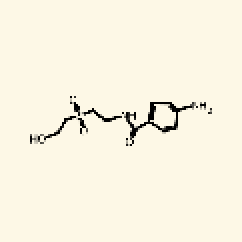 Nc1ccc(C(=O)NCCS(=O)(=O)CCO)cc1